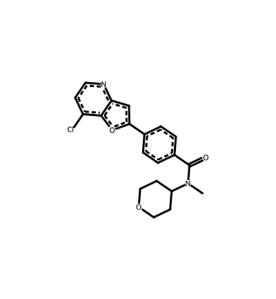 CN(C(=O)c1ccc(-c2cc3nccc(Cl)c3o2)cc1)C1CCOCC1